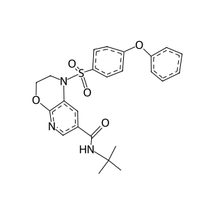 CC(C)(C)NC(=O)c1cnc2c(c1)N(S(=O)(=O)c1ccc(Oc3ccccc3)cc1)CCO2